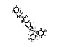 O=C(NCc1cccnc1)Nc1ccc(NS(=O)(=O)c2ccccc2-c2ccc(F)cc2)cc1